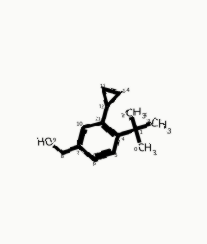 CC(C)(C)c1ccc([CH]O)cc1C1CC1